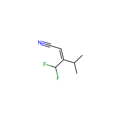 CC(C)C(=CC#N)C(F)F